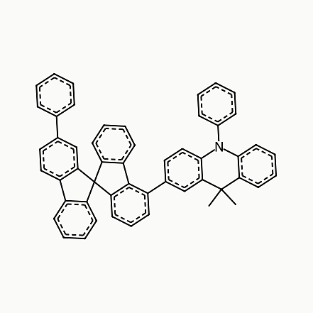 CC1(C)c2ccccc2N(c2ccccc2)c2ccc(-c3cccc4c3-c3ccccc3C43c4ccccc4-c4ccc(-c5ccccc5)cc43)cc21